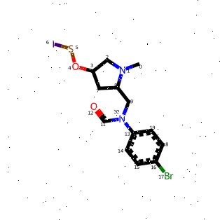 CN1CC(OSI)CC1CN(C=O)c1ccc(Br)cc1